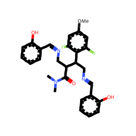 COc1cc(F)c(C(C/N=C/c2ccccc2O)C(C/N=C\c2ccccc2O)C(=O)N(C)C)c(F)c1